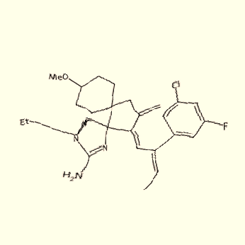 C=C1CC2(CCC(OC)CC2)C2(N=C(N)N3CC(CC)CN=C32)/C1=C/C(=C\C)c1cc(F)cc(Cl)c1